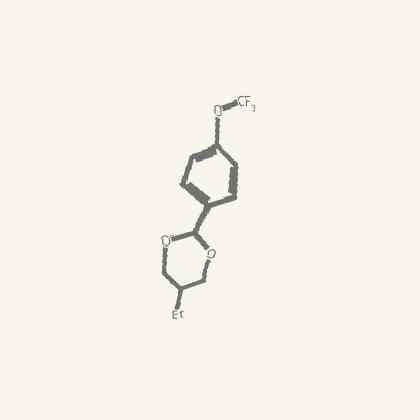 CCC1COC(c2ccc(OC(F)(F)F)cc2)OC1